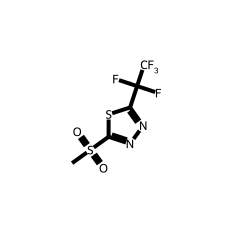 CS(=O)(=O)c1nnc(C(F)(F)C(F)(F)F)s1